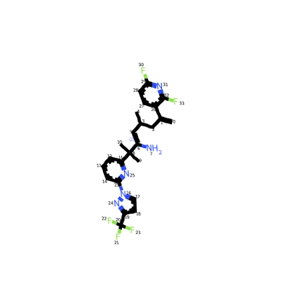 C=C(CC(C)/C=C(\N)C(C)(C)c1cccc(-n2ccc(C(F)(F)F)n2)n1)c1ccc(F)nc1F